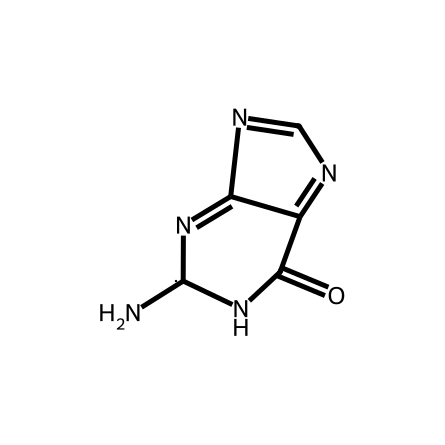 N[C]1N=C2N=CN=C2C(=O)N1